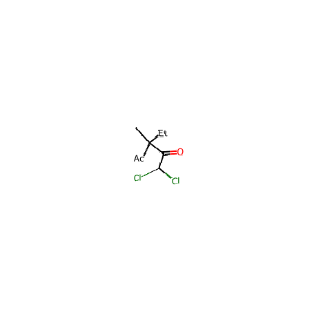 CCC(C)(C(C)=O)C(=O)C(Cl)Cl